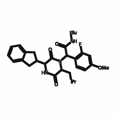 COc1ccc(C(C(=O)NC(C)(C)C)N2C(=O)C(C3Cc4ccccc4C3)NC(=O)C2CC(C)C)c(F)c1